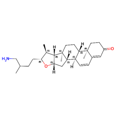 CC(CN)CC[C@H]1O[C@H]2C[C@H]3[C@@H]4C=CC5=CC(=O)CC[C@]5(C)[C@H]4CC[C@]3(C)[C@H]2[C@@H]1C